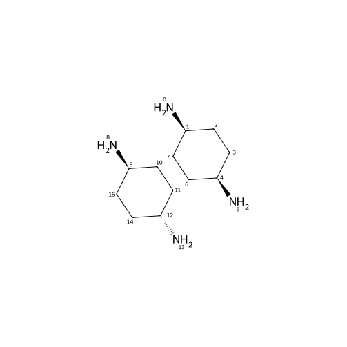 N[C@H]1CC[C@@H](N)CC1.N[C@H]1CC[C@H](N)CC1